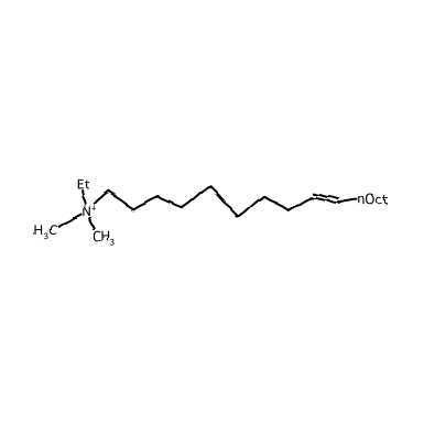 CCCCCCCCC=CCCCCCCCC[N+](C)(C)CC